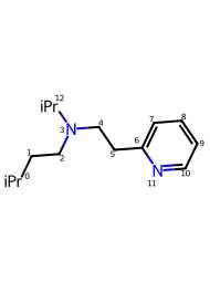 CC(C)CCN(CCc1ccccn1)C(C)C